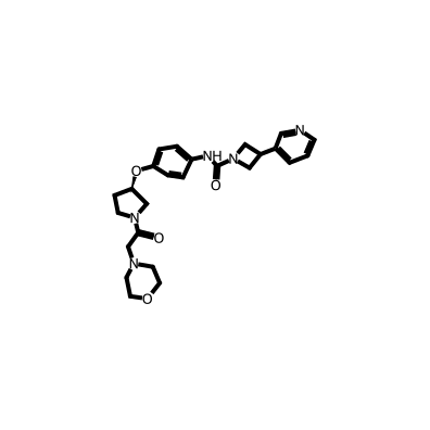 O=C(CN1CCOCC1)N1CC[C@@H](Oc2ccc(NC(=O)N3CC(c4cccnc4)C3)cc2)C1